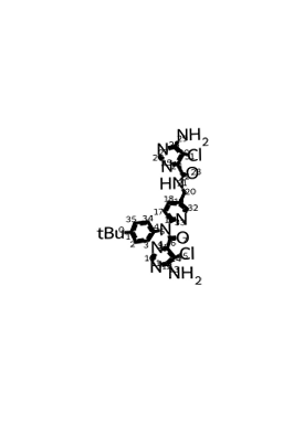 CC(C)(C)c1ccc(N(C(=O)c2ncnc(N)c2Cl)c2ccc(CNC(=O)c3ncnc(N)c3Cl)cn2)cc1